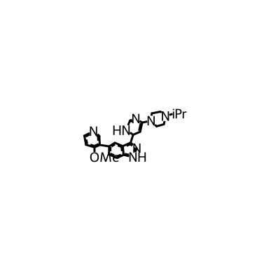 COc1ccncc1-c1ccc2[nH]nc(C3C=C(N4CCN(C(C)C)CC4)N=CN3)c2c1